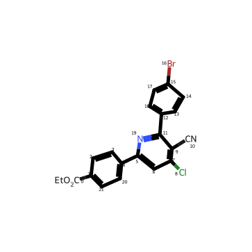 CCOC(=O)c1ccc(-c2cc(Cl)c(C#N)c(-c3ccc(Br)cc3)n2)cc1